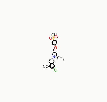 C[C@@H]1C[C@H](COc2ccc(S(C)(=O)=O)cc2)CN1[C@@H]1CCc2c(C#N)cc(Cl)cc2C1